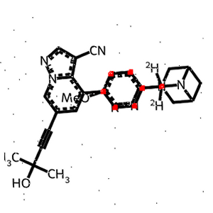 [2H]C([2H])(c1ccc(OC)nc1)N1C2CC1CN(c1ccc(-c3cc(C#CC(C)(C)O)cn4ncc(C#N)c34)cn1)C2